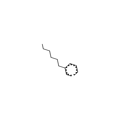 SCCCCCc1cccnc1